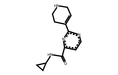 O=C(NC1CC1)c1ccnc(C2=CCNCC2)n1